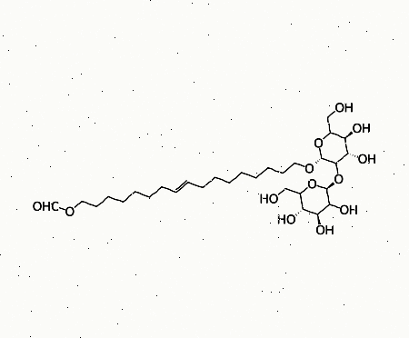 O=COCCCCCCC/C=C/CCCCCCCCO[C@@H]1OC(CO)[C@@H](O)[C@H](O)C1O[C@@H]1OC(CO)[C@@H](O)[C@H](O)C1O